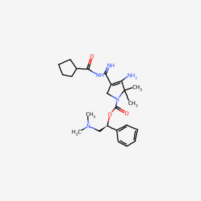 CN(C)C[C@@H](OC(=O)N1CC(C(=N)NC(=O)C2CCCC2)=C(N)C1(C)C)c1ccccc1